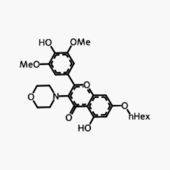 CCCCCCOc1cc(O)c2c(=O)c(N3CCOCC3)c(-c3cc(OC)c(O)c(OC)c3)oc2c1